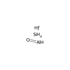 [Hf].[O]=[AlH].[SiH4]